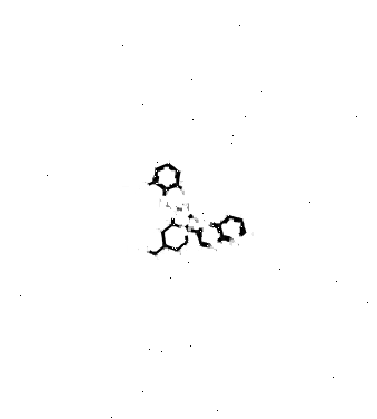 Cc1cccc(Cl)c1NN1N=N[N+]2(c3cnc4ncccc4n3)CCC(CO)CC12